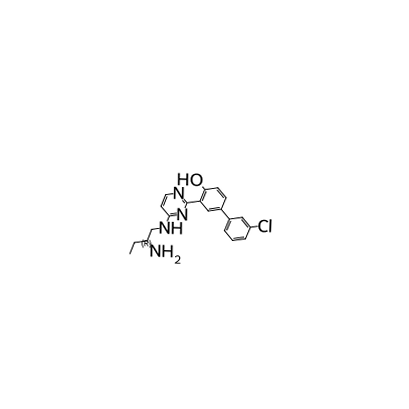 CC[C@@H](N)CNc1ccnc(-c2cc(-c3cccc(Cl)c3)ccc2O)n1